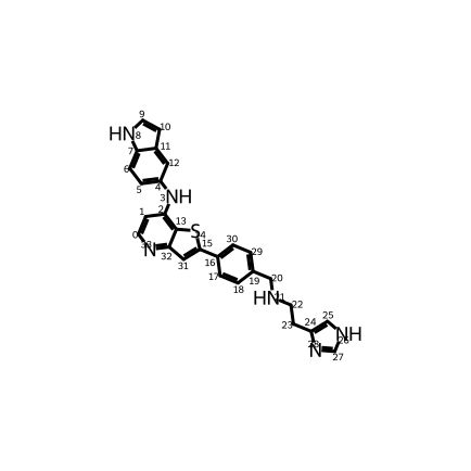 c1cc(Nc2ccc3[nH]ccc3c2)c2sc(-c3ccc(CNCCc4c[nH]cn4)cc3)cc2n1